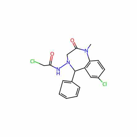 CN1C(=O)CN(NC(=O)CCl)C(c2ccccc2)c2cc(Cl)ccc21